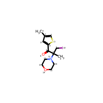 Cc1csc(C(=O)C(C)(CI)N2CCOCC2)c1